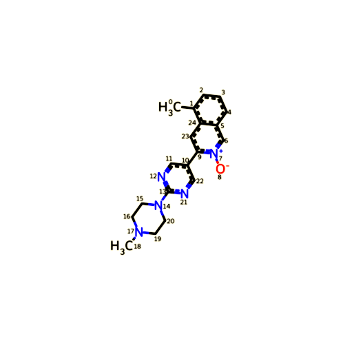 Cc1cccc2c[n+]([O-])c(-c3cnc(N4CCN(C)CC4)nc3)cc12